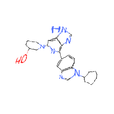 OC1CCCN(c2cc3[nH]cnc3c(-c3ccc4c(c3)ncn4C3CCCCC3)n2)C1